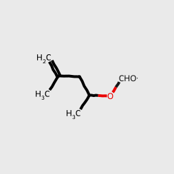 C=C(C)CC(C)O[C]=O